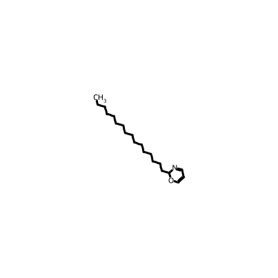 CCCCCCCCCCCCCCCCC1N=CC=CO1